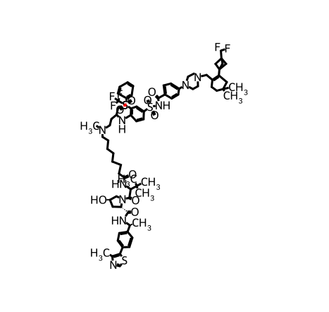 Cc1ncsc1-c1ccc([C@H](C)NC(=O)[C@@H]2C[C@@H](O)CN2C(=O)C(NC(=O)CCCCCCCN(C)CCC(CSc2ccccc2)Nc2ccc(S(=O)(=O)NC(=O)c3ccc(N4CCN(CC5=C(C67CC(C(F)F)(C6)C7)CC(C)(C)CC5)CC4)cc3)cc2S(=O)(=O)C(F)(F)F)C(C)(C)C)cc1